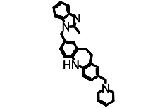 Cc1nc2ccccc2n1Cc1ccc2c(c1)CCc1cc(CN3CC=CCC3)ccc1N2